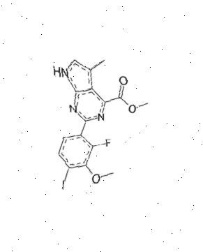 COC(=O)c1nc(-c2ccc(I)c(OC)c2F)nc2[nH]cc(C)c12